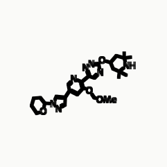 COCOc1cc(-c2cnn(C3CCCCO3)c2)cnc1-c1cnc(OC2CC(C)(C)NC(C)(C)C2)nn1